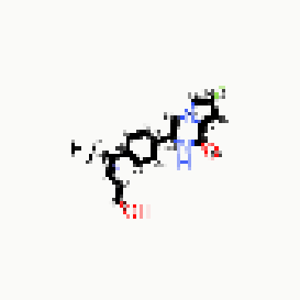 C/C(=C/CCO)c1ccc(-c2cn3cc(F)cc3c(=O)[nH]2)cc1